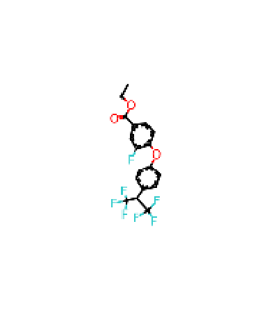 CCOC(=O)c1ccc(Oc2ccc(C(C(F)(F)F)C(F)(F)F)cc2)c(F)c1